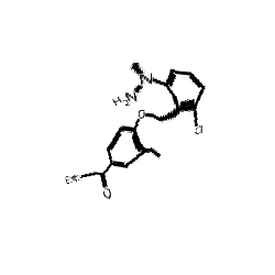 CCC(=O)c1ccc(OCc2c(Cl)cccc2N(C)N)c(C)c1